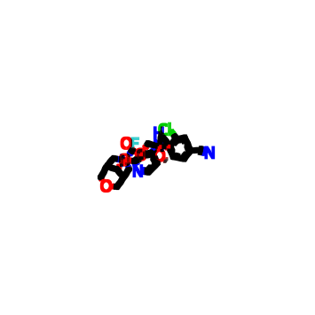 COC1(COC(=O)N2CC3COCC(C2)C3Oc2nccc(Nc3ccc(C#N)cc3Cl)c2F)CC1